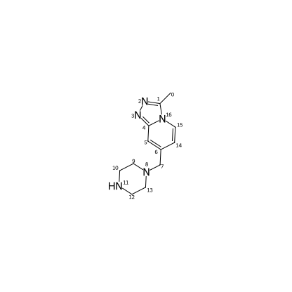 Cc1nnc2cc(CN3CCNCC3)ccn12